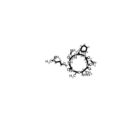 CCCCCC[C@H]1O[C@@H](C)NC(=O)[C@H](COCCCN(C)C)NC(=O)[C@H](CN)NC(=O)[C@H](C2CCCCC2)NC(=O)[C@H](CC(C)C)N(C)C(=O)[C@@H]1C